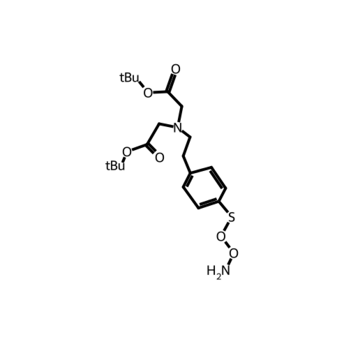 CC(C)(C)OC(=O)CN(CCc1ccc(SOON)cc1)CC(=O)OC(C)(C)C